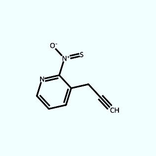 C#CCc1cccnc1[N+]([O-])=S